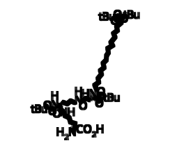 CC(C)(C)OC(=O)N[C@@H](CCCCNC(=O)CC[C@H](NC(=O)CCCCCCCCCCCCCCCCCCP(=O)(OC(C)(C)C)OC(C)(C)C)C(=O)OC(C)(C)C)C(=O)NCCCC[C@H](N)C(=O)O